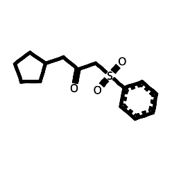 O=C(CC1CCCC1)CS(=O)(=O)c1ccccc1